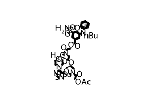 CCCCNc1cc(C(=O)OCC(=O)N(C)CC(=O)O[C@H](COc2nsnc2N2CCOCC2)CN(C(=O)COC(C)=O)C(C)(C)C)cc(S(N)(=O)=O)c1Oc1ccccc1